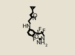 C[C@]1(c2cc(NCCc3cc(C4CC4)on3)ccc2F)OC(N)=NCC1(F)F